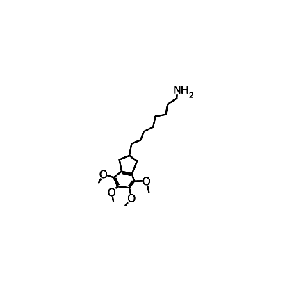 COc1c2c(c(OC)c(OC)c1OC)CC(CCCCCCCCN)C2